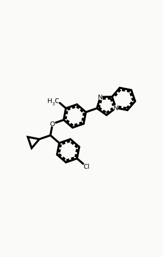 Cc1cc(-c2cn3ccccc3n2)ccc1OC(c1ccc(Cl)cc1)C1CC1